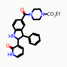 CCOC(=O)N1CCN(C(=O)c2ccc3c(c2)C(c2ccccc2)C(c2ccc[nH]c2=O)N3)CC1